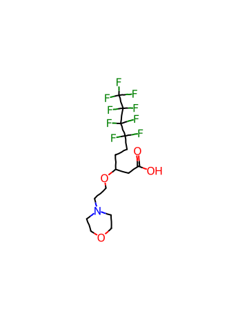 O=C(O)CC(CCC(F)(F)C(F)(F)C(F)(F)C(F)(F)F)OCCN1CCOCC1